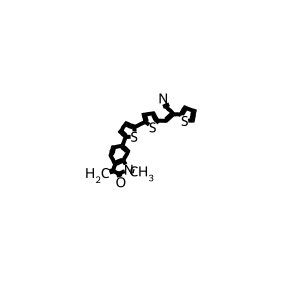 C=C1C(=O)N(C)c2cc(-c3ccc(-c4ccc(/C=C(\C#N)c5cccs5)s4)s3)ccc21